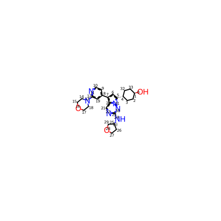 O[C@H]1CC[C@H](c2cc(-c3ccnc(N4CCOCC4)c3)c3cnc(N[C@H]4CCOC4)nn32)CC1